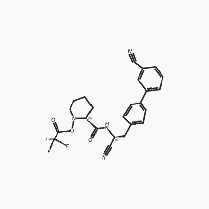 N#Cc1cccc(-c2ccc(C[C@@H](C#N)NC(=O)[C@@H]3CCCCN3OC(=O)C(F)(F)F)cc2)c1